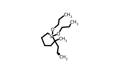 C=CCC1(C)CCCC[Si]1(OCCC)OCCC